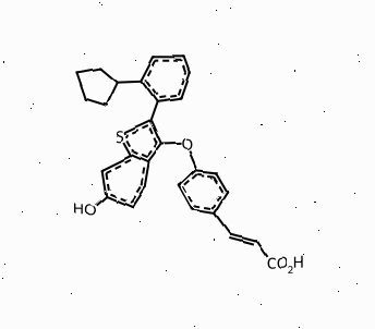 O=C(O)/C=C/c1ccc(Oc2c(-c3ccccc3C3CCCC3)sc3cc(O)ccc23)cc1